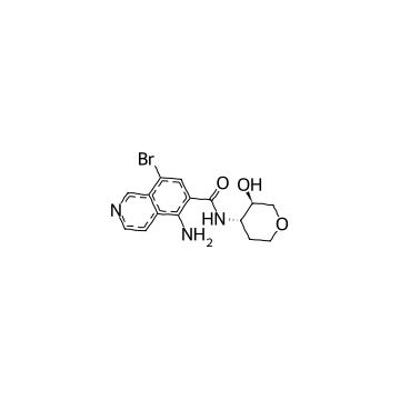 Nc1c(C(=O)N[C@H]2CCOC[C@@H]2O)cc(Br)c2cnccc12